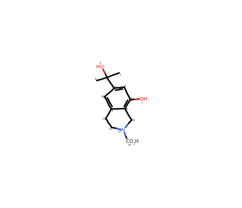 CC(C)(O)c1cc(O)c2c(c1)CCN(C(=O)O)C2